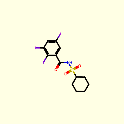 O=C(NS(=O)(=O)C1CCCCC1)c1cc(I)cc(I)c1I